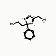 OCCC1(c2ccccc2)N=NC(CO)=N1